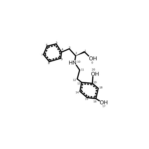 OC[C@H](Cc1ccccc1)NCCc1ccc(O)cc1O